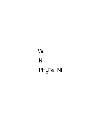 P.[Fe].[Ni].[Ni].[W]